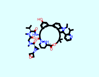 CCn1c(-c2cccnc2C(C)C)c2c3cc(ccc31)-c1cc(O)cc(c1)C[C@H](NC(=O)[C@H](C(C)C)N(C)C(=O)CN(C)C(=O)[C@@H]1CN1C1COC1)C(=O)N1CCC[C@H](N1)C(=O)OCC(C)(C)C2